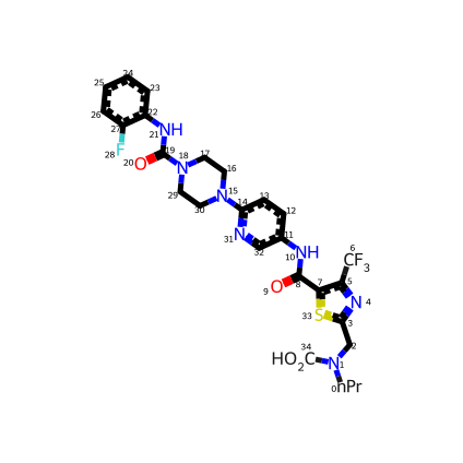 CCCN(Cc1nc(C(F)(F)F)c(C(=O)Nc2ccc(N3CCN(C(=O)Nc4ccccc4F)CC3)nc2)s1)C(=O)O